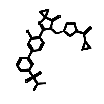 CC(C)S(=O)(=O)c1cccc(-c2ccc(C3=NC4(CC4)C(=O)N3C[C@@H]3CCN(C(=O)C4CC4)C3)c(F)c2)c1